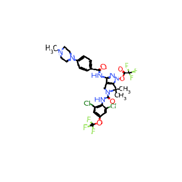 CN1CCN(c2ccc(C(=O)Nc3nn(OC(=O)C(F)(F)F)c4c3CN(C(=O)Nc3c(Cl)cc(OC(F)(F)F)cc3Cl)C4(C)C)cc2)CC1